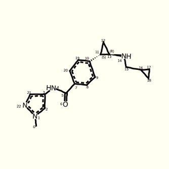 Cn1cc(NC(=O)c2ccc([C@@H]3C[C@H]3NCC3CC3)cc2)cn1